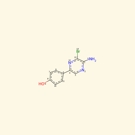 Nc1ncc(-c2ccc(O)cc2)nc1Br